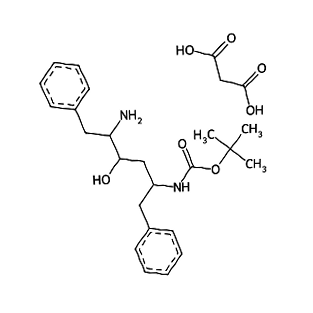 CC(C)(C)OC(=O)NC(Cc1ccccc1)CC(O)C(N)Cc1ccccc1.O=C(O)CC(=O)O